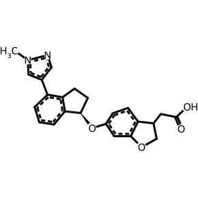 Cn1cc(-c2cccc3c2CC[C@H]3Oc2ccc3c(c2)OCC3CC(=O)O)cn1